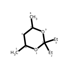 CCC1(CC)OC(C)CC(C)O1